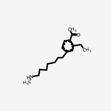 CCc1cc(CCCCCCCNC)ccc1C(C)=O